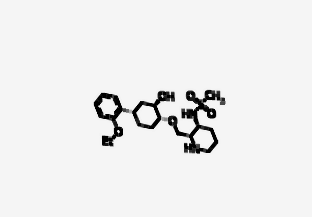 CCOc1ccccc1[C@H]1CC[C@@H](OC[C@@H]2NCCC[C@@H]2NS(C)(=O)=O)[C@H](O)C1